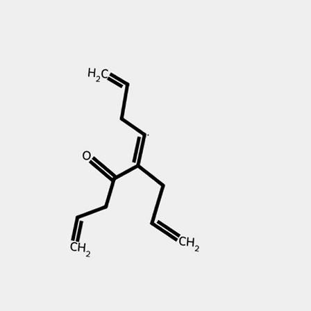 C=CC/[C]=C(/CC=C)C(=O)CC=C